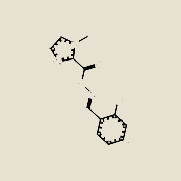 Cn1ccnc1C(=O)ON=Cc1ccccc1Cl